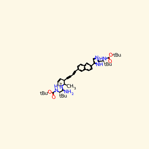 CC/C=C\C(C#CC#Cc1ccc2cc(-c3cnc([C@@H](NC(=O)OC(C)(C)C)C(C)(C)C)[nH]3)ccc2c1)C(C)/N=C(\N)[C@@H](NC(=O)OC(C)(C)C)C(C)(C)C